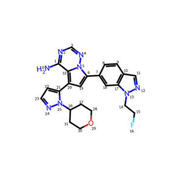 Nc1ncnn2c(-c3ccc4cnn(CCF)c4c3)cc(-c3ccnn3C3CCOCC3)c12